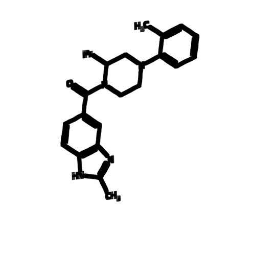 Cc1nc2cc(C(=O)N3CCN(c4ccccc4C)CC3C(C)C)ccc2[nH]1